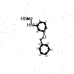 N=NNc1cccc(OCc2ccccc2)c1